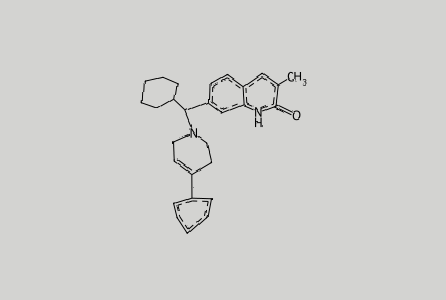 Cc1cc2ccc(C(C3CCCCC3)N3CC=C(c4ccccc4)CC3)cc2[nH]c1=O